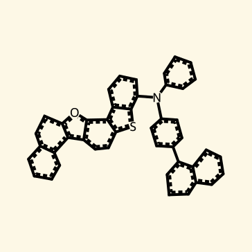 c1ccc(N(c2ccc(-c3cccc4ccccc34)cc2)c2cccc3c2sc2ccc4c(oc5ccc6ccccc6c54)c23)cc1